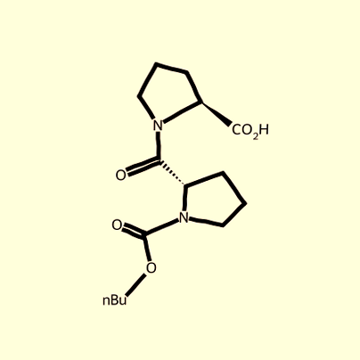 CCCCOC(=O)N1CCC[C@H]1C(=O)N1CCC[C@H]1C(=O)O